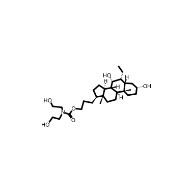 CC[C@H]1[C@@H](O)[C@@H]2[C@H](CC[C@]3(C)[C@@H](CCCOC(=O)N(CCO)CCO)CC[C@@H]23)[C@@]2(C)CC[C@@H](O)C[C@@H]12